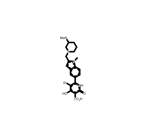 CCc1c(-c2ccc3c(c2)cc(CN2CCCC(NC)C2)n3C)[nH]c(=O)c(C(=O)O)c1O